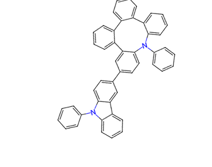 c1ccc(-n2c3ccccc3c3ccccc3c3ccccc3c3cc(-c4ccc5c(c4)c4ccccc4n5-c4ccccc4)ccc32)cc1